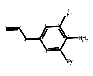 C=CCc1cc(C(C)C)c(N)c(C(C)C)c1